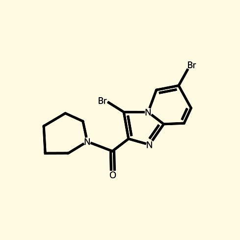 O=C(c1nc2ccc(Br)cn2c1Br)N1CCCCC1